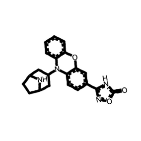 O=c1[nH]c(-c2ccc3c(c2)Oc2ccccc2N3C2CC3CCC(C2)N3)no1